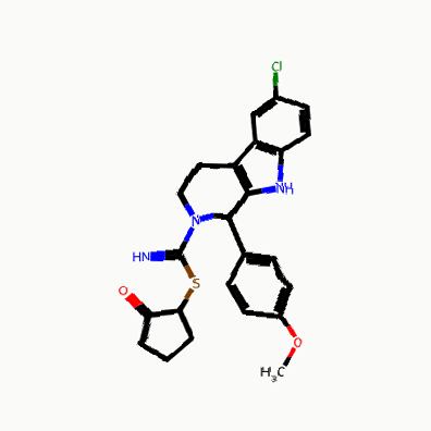 COc1ccc(C2c3[nH]c4ccc(Cl)cc4c3CCN2C(=N)SC2CCCC2=O)cc1